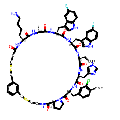 COc1ccc(C[C@@H]2NC(=O)[C@H](Cc3c[nH]cn3)NC(=O)[C@H](CC(=O)O)NC(=O)[C@H](Cc3c[nH]c4ccc(F)cc34)NC(=O)[C@H](Cc3c[nH]c4ccc(F)cc34)NC(=O)[C@@H](C)NC(=O)[C@H](CCCCN)NC(=O)CCSCc3cccc(c3)CSCCNC(=O)[C@]3(C)CCCN3C2=O)cc1Cl